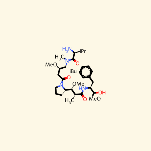 CC[C@H](C)[C@@H]([C@@H](CC(=O)N1CCC[C@H]1[C@H](OC)[C@@H](C)C(=O)N[C@@H](Cc1ccccc1)C(O)OC)OC)N(C)C(=O)[C@@H](N)C(C)C